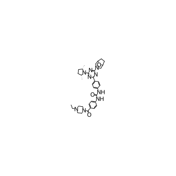 CCN1CCN(C(=O)c2ccc(NC(=O)Nc3ccc(-c4nc(N5CC6CCC(C5)O6)nc(N5[C@H](C)CC[C@@H]5C)n4)cc3)cc2)CC1